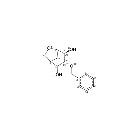 OC1C2COC(C2)[C@@H](O)[C@@H]1OCc1ccccc1